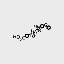 O=C(CNCC1CCCN1Cc1ccc(C(=O)O)cc1)Nc1ccc(Oc2ccccc2)cc1